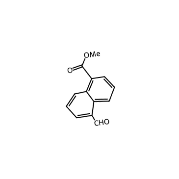 COC(=O)c1cccc2c(C=O)cccc12